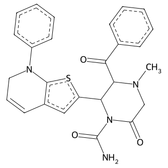 CN1CC(=O)N(C(N)=O)C(c2cc3c(s2)N(c2ccccc2)CC=C3)C1C(=O)c1ccccc1